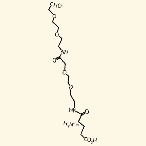 N[C@@H](CCC(=O)O)C(=O)NCCOCCOCC(=O)NCCOCCOC[C]=O